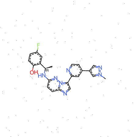 C[C@@H](Nc1ccc2ncc(-c3cc(-c4cnn(C)c4)ccn3)n2n1)c1cc(F)ccc1O